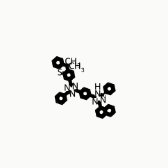 CC1(C)c2ccccc2Sc2cc(-c3nc(-c4ccccc4)nc(-c4ccc(C5=NC(c6cccc7ccccc67)=N[C@H](c6ccccc6)N5)cc4)n3)ccc21